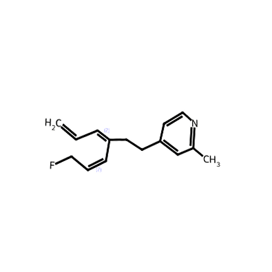 C=C/C=C(\C=C/CF)CCc1ccnc(C)c1